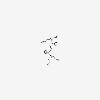 C=CCN(CC=C)C(=O)C=CC(=O)N(CC=C)CC=C